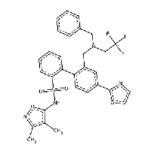 Cc1noc(NS(=O)(=O)c2ccccc2-c2ccc(-c3ncco3)cc2CN(Cc2ccccc2)CC(F)(F)F)c1C